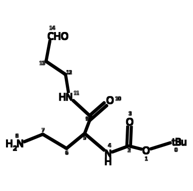 CC(C)(C)OC(=O)NC(CCN)C(=O)NCCC=O